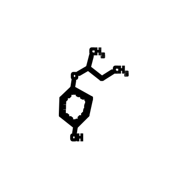 CCC(C)Oc1ccc(O)cc1